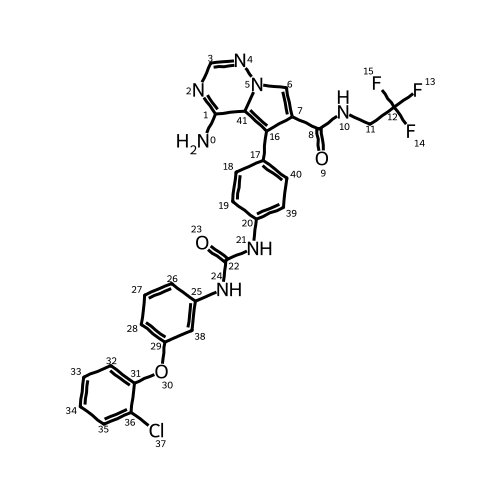 Nc1ncnn2cc(C(=O)NCC(F)(F)F)c(-c3ccc(NC(=O)Nc4cccc(Oc5ccccc5Cl)c4)cc3)c12